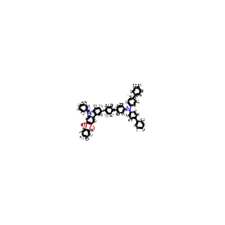 c1ccc(-c2ccc(N(c3ccc(-c4ccccc4)cc3)c3ccc(-c4ccc(-c5ccc6c(c5)c5cc7c(cc5n6-c5ccccc5)Oc5ccccc5O7)cc4)cc3)cc2)cc1